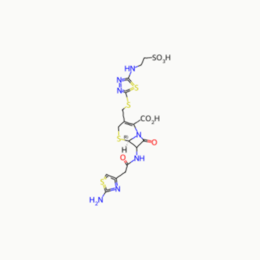 Nc1nc(CC(=O)NC2C(=O)N3C(C(=O)O)=C(CSc4nnc(NCCS(=O)(=O)O)s4)CS[C@H]23)cs1